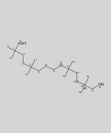 CCCCCCCCC(C)(C)CCC(C)(C)CCCOC(C)(C)CO[PH](C)(C)CO